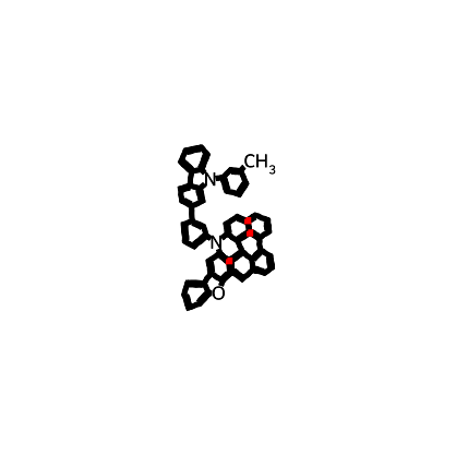 Cc1cccc(-n2c3ccccc3c3ccc(-c4cccc(N(c5ccc6oc7ccccc7c6c5)c5ccccc5-c5cccc6cccc(-c7ccccc7)c56)c4)cc32)c1